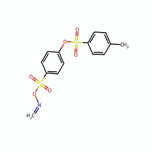 C=NOS(=O)(=O)c1ccc(OS(=O)(=O)c2ccc(C)cc2)cc1